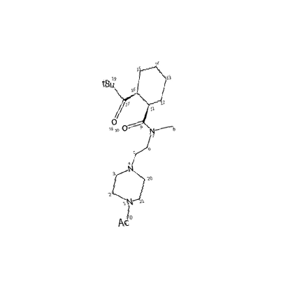 CC(=O)N1CCN(CCN(C)C(=O)[C@@H]2CCCC[C@@H]2C(=O)C(C)(C)C)CC1